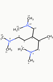 CC(CN(C)C)C(CCN(C)C)CN(C)C